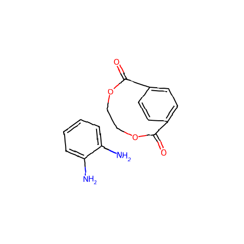 Nc1ccccc1N.O=C1OCCOC(=O)c2ccc1cc2